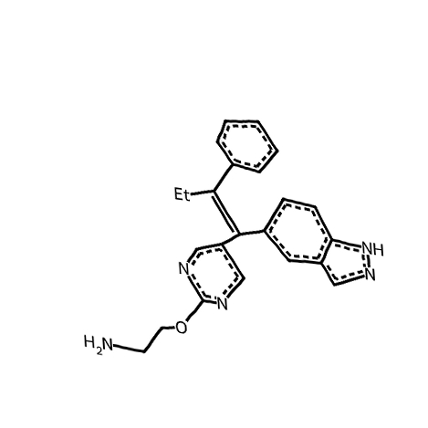 CCC(=C(c1cnc(OCCN)nc1)c1ccc2[nH]ncc2c1)c1ccccc1